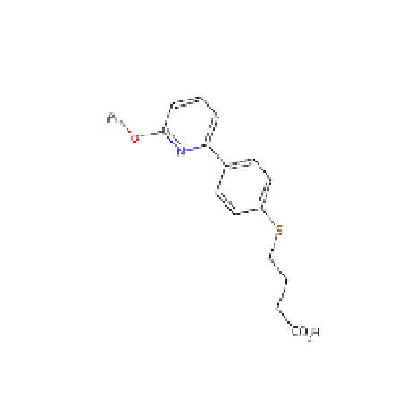 CC(C)Oc1cccc(-c2ccc(SCCCC(=O)O)cc2)n1